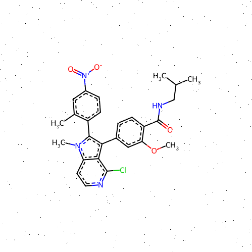 COc1cc(-c2c(-c3ccc([N+](=O)[O-])cc3C)n(C)c3ccnc(Cl)c23)ccc1C(=O)NCC(C)C